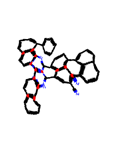 N#Cc1cc(-c2nc(-c3ccccc3)nc(-c3ccccc3)n2)ccc1-c1cccc2cccc(-c3ccc(-c4nc(-c5ccccc5)nc(-c5ccccc5-c5ccccc5)n4)cc3C#N)c12